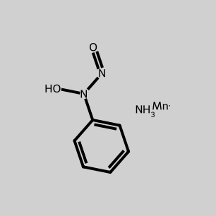 N.O=NN(O)c1ccccc1.[Mn]